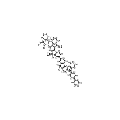 C/C=C(/C1=CCCCC1)C(C)/C(C)=C/Cn1c(/C=C\CC)c(CC)c2c3c(ccc21)C(C)(CC)c1cc(-c2ccc4c(c2)C(C)(C)c2ccc5c(c6c(n5-c5ccc(-c7ccccc7)cc5)C=CCC6)c2-4)ccc1-3